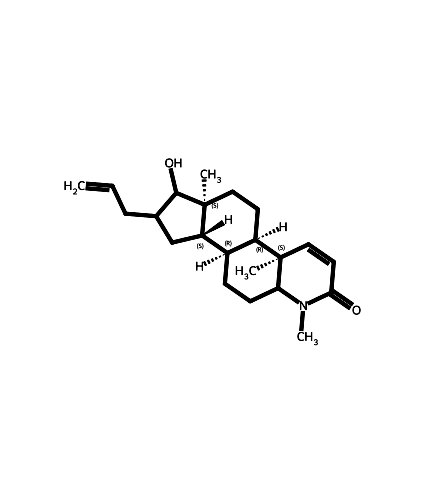 C=CCC1C[C@H]2[C@@H]3CCC4N(C)C(=O)C=C[C@]4(C)[C@@H]3CC[C@]2(C)C1O